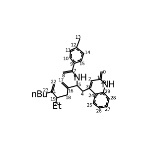 C=C1C=C(CC(NC(=C)c2ccc(C)cc2)C(=C)CC(CC)C(=C)CCCC)c2ccccc2N1